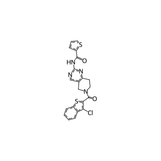 O=C(Nc1ncc2c(n1)CCN(C(=O)c1sc3ccccc3c1Cl)C2)c1cccs1